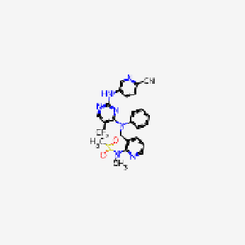 CN(c1ncccc1CN(c1ccccc1)c1nc(Nc2ccc(C#N)nc2)ncc1C(F)(F)F)S(C)(=O)=O